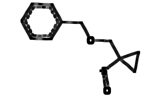 O=[S]C1(COCc2ccccc2)CC1